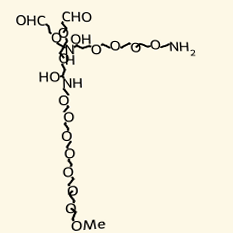 COCCOCCOCCOCCOCCOCCOCCOCCNC(O)CCOCC(COCCC=O)(COCCC=O)NC(O)CCOCCOCCOCCOCCN